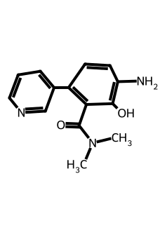 CN(C)C(=O)c1c(-c2cccnc2)ccc(N)c1O